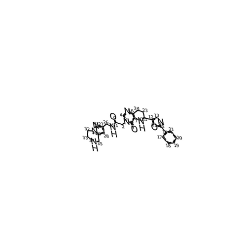 O=C(Cn1cnc2c(c1=O)NC(c1cnc(-c3ccccc3)o1)CC2)NCc1cc2n(n1)CCNC2